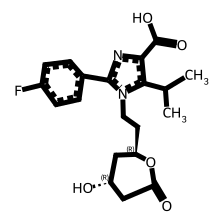 CC(C)c1c(C(=O)O)nc(-c2ccc(F)cc2)n1CC[C@@H]1C[C@@H](O)CC(=O)O1